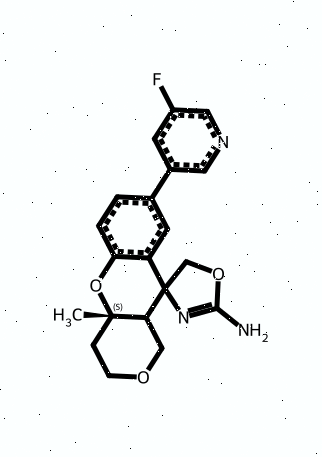 C[C@]12CCOCC1C1(COC(N)=N1)c1cc(-c3cncc(F)c3)ccc1O2